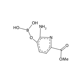 COC(=O)c1ccc(OB(O)O)c(N)n1